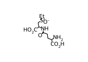 CC[S+]([O-])CC(NC(=O)CCC(N)C(=O)O)C(=O)O